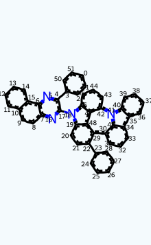 c1ccc(-c2nc3c(ccc4ccccc43)nc2-n2c3ccc(-c4ccccc4)c4c5cccc6c7ccccc7n(c7cccc2c7c43)c65)cc1